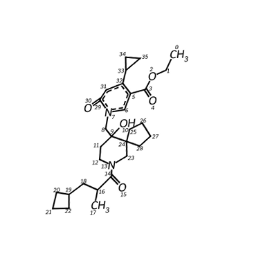 CCOC(=O)c1cn(CC2(O)CCN(C(=O)C(C)CC3CCC3)CC23CCCC3)c(=O)cc1C1CC1